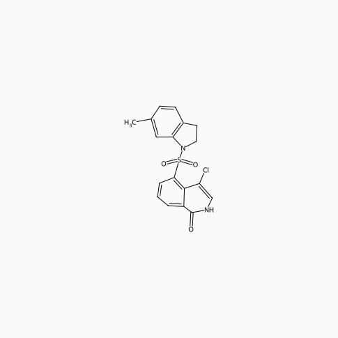 Cc1ccc2c(c1)N(S(=O)(=O)c1cccc3c(=O)[nH]cc(Cl)c13)CC2